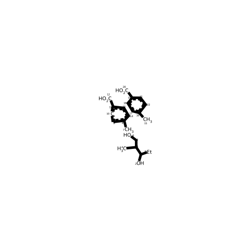 CCC(O)C(C)CO.Cc1ccc(C(=O)O)cc1.Cc1ccc(C(=O)O)cc1